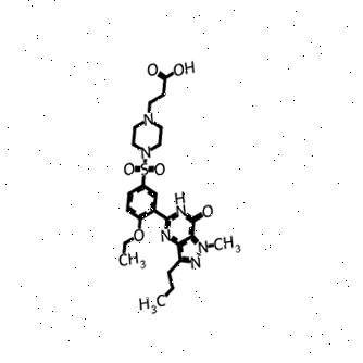 CCCc1nn(C)c2c(=O)[nH]c(-c3cc(S(=O)(=O)N4CCN(CCC(=O)O)CC4)ccc3OCC)nc12